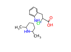 CC1CCCC(C)N1.Nc1ccccc1CC(Cl)C(=O)O